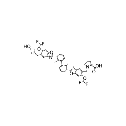 Cc1c(-c2nc3cc(CN4CC(O)C4)c(OC(F)F)cc3o2)cccc1-c1cccc(-c2nc3cc(CN4CCC[C@H]4C(=O)O)c(OC(F)F)cc3o2)c1C